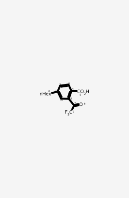 CCCCCCc1ccc(C(=O)O)c(C(=O)C(F)(F)F)c1